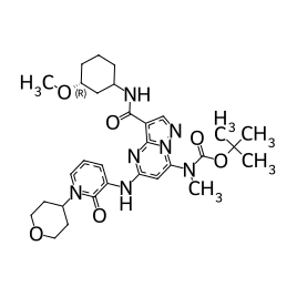 CO[C@@H]1CCCC(NC(=O)c2cnn3c(N(C)C(=O)OC(C)(C)C)cc(Nc4cccn(C5CCOCC5)c4=O)nc23)C1